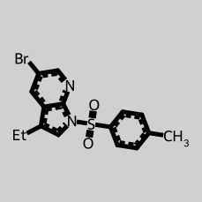 CCc1cn(S(=O)(=O)c2ccc(C)cc2)c2ncc(Br)cc12